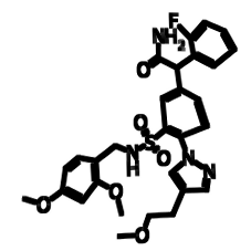 COCCc1cnn(-c2ccc(C(C(N)=O)c3ccccc3F)cc2S(=O)(=O)NCc2ccc(OC)cc2OC)c1